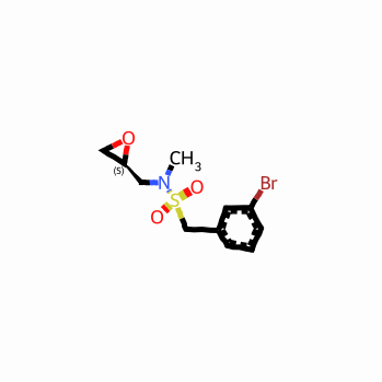 CN(C[C@H]1CO1)S(=O)(=O)Cc1cccc(Br)c1